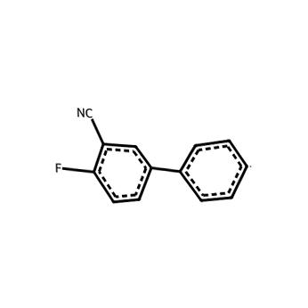 N#Cc1cc(-c2cc[c]cc2)ccc1F